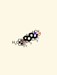 CN1C(=O)[C@H](F)C[C@]2(C)C3CC[C@]4(C)[C@@H](O[Si](C)(C)C(C)(C)C)CC[C@H]4C3CC[C@@H]12